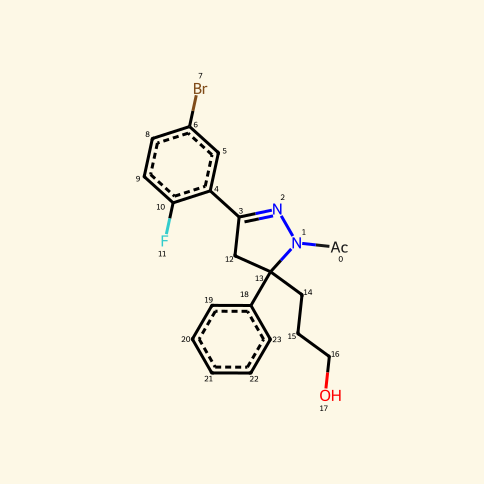 CC(=O)N1N=C(c2cc(Br)ccc2F)CC1(CCCO)c1ccccc1